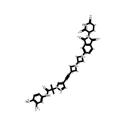 CC(C)(C(=O)Nc1ccc(C#N)c(C(F)(F)F)c1)n1cc(C#CC2CN(C3CN(c4ccc5c(c4)C(=O)N(C4CCC(=O)NC4=O)C5=O)C3)C2)cn1